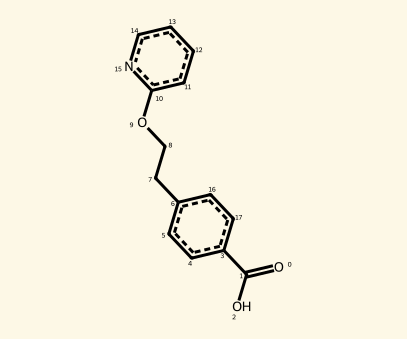 O=C(O)c1ccc(CCOc2ccccn2)cc1